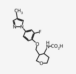 Cc1cnn(-c2ccc(OCC3COCCC3NC(=O)O)c(F)c2)c1